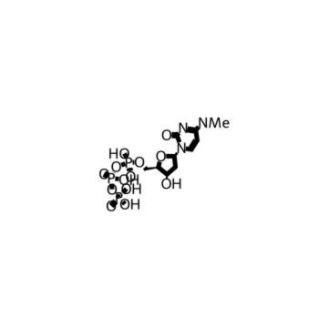 CNc1ccn([C@H]2C[C@H](O)[C@@H](COP(=O)(O)OP(=O)(O)OP(=O)(O)O)O2)c(=O)n1